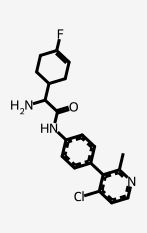 Cc1nccc(Cl)c1-c1ccc(NC(=O)C(N)C2CC=C(F)CC2)cc1